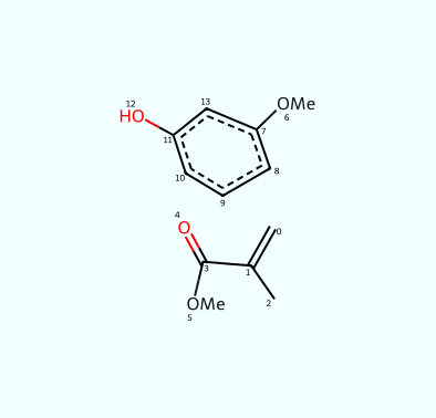 C=C(C)C(=O)OC.COc1cccc(O)c1